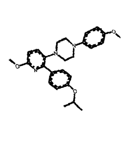 COc1ccc(N2CCN(c3ccc(OC)nc3-c3ccc(OC(C)C)cc3)CC2)cc1